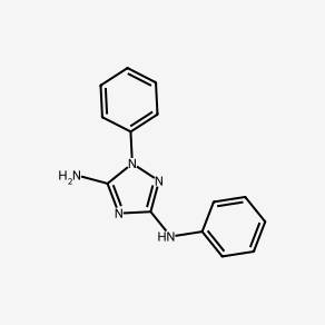 Nc1nc(Nc2ccccc2)nn1-c1ccccc1